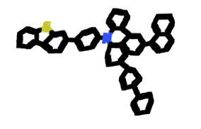 c1ccc(-c2ccc(-c3ccc(N(c4ccc(-c5ccc6c(c5)sc5ccccc56)cc4)c4ccccc4-c4cccc(-c5cccc6ccccc56)c4)cc3)cc2)cc1